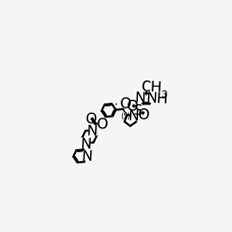 Cc1nc(S(=O)(=O)N2CCC[C@H]2C(=O)c2[c]ccc(OC(=O)N3CCN(c4ccccn4)CC3)c2)c[nH]1